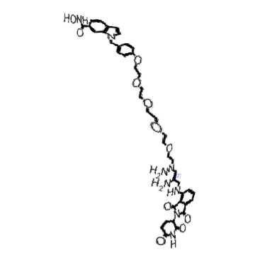 N/C(=C\N(N)CCOCCOCCOCCOCCOc1ccc(Cn2ccc3ccc(C(=O)NO)cc32)cc1)CNc1cccc2c1C(=O)N(C1CCC(=O)NC1=O)C2=O